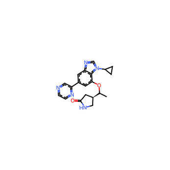 CC(Oc1cc(-c2cnccn2)cc2ncn(C3CC3)c12)[C@H]1CNC(=O)C1